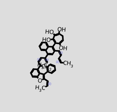 C=C(/C=C\C(=C/C)c1cc(/C=C\C=C/C)c(C2=C(O)C(O)=C(O)CC=C2O)c2ccccc12)c1cccc2oc(/C=C\C)c(-c3ccccc3)c12